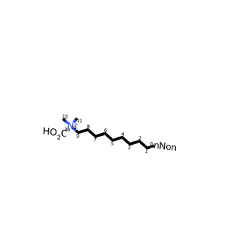 CCCCCCCCCCCCCCCCCC[N+](C)(C)C(=O)O